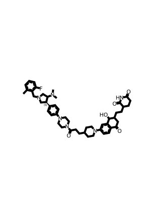 Cc1cccc(F)c1CN1CC(N(C)C)[C@@H](c2ccc(N3CCN(C(=O)CCC4CCN(c5ccc6c(c5)C(O)C(CCC5CCC(=O)NC5=O)CC6=O)CC4)CC3)cc2)C1